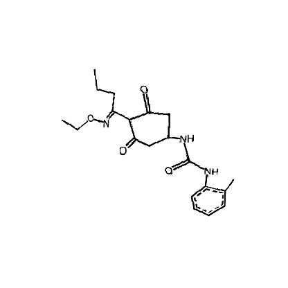 CCCC(=NOCC)C1C(=O)CC(NC(=O)Nc2ccccc2C)CC1=O